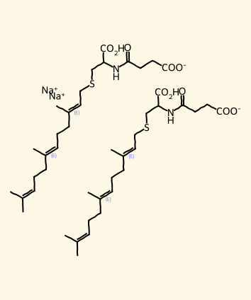 CC(C)=CCC/C(C)=C/CC/C(C)=C/CSCC(NC(=O)CCC(=O)[O-])C(=O)O.CC(C)=CCC/C(C)=C/CC/C(C)=C/CSCC(NC(=O)CCC(=O)[O-])C(=O)O.[Na+].[Na+]